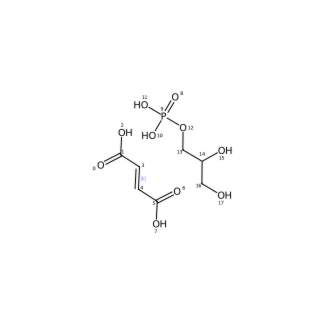 O=C(O)/C=C/C(=O)O.O=P(O)(O)OCC(O)CO